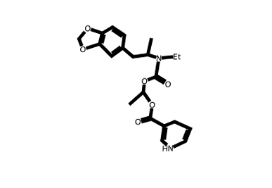 CCN(C(=O)OC(C)OC(=O)C1=CNC=CC1)C(C)Cc1ccc2c(c1)OCO2